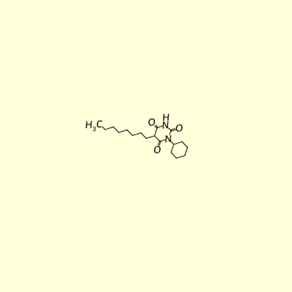 CCCCCCCCC1C(=O)NC(=O)N(C2CCCCC2)C1=O